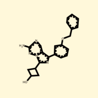 Nc1ncc2c(-c3cccc(OCc4ccccc4)c3)nc(C3CC(O)C3)n2n1